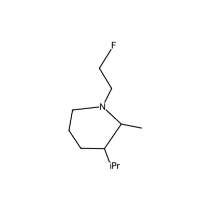 CC(C)C1CCCN(CCF)C1C